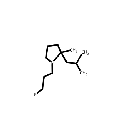 CC(C)CC1(C)CCCN1CCCF